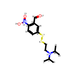 CC(C)N(CCSSc1ccc([N+](=O)[O-])c(C=O)c1)C(C)C